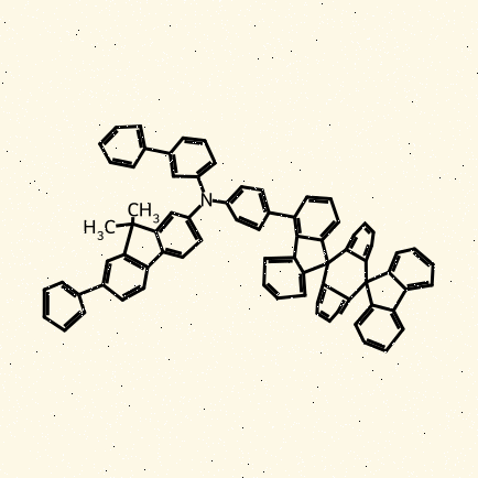 CC1(C)c2cc(-c3ccccc3)ccc2-c2ccc(N(c3ccc(-c4cccc5c4-c4ccccc4C54c5ccccc5C5(c6ccccc6-c6ccccc65)c5ccccc54)cc3)c3cccc(-c4ccccc4)c3)cc21